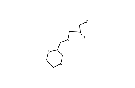 OC(CCl)CSCC1CSCCS1